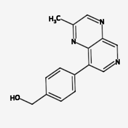 Cc1cnc2cncc(-c3ccc(CO)cc3)c2n1